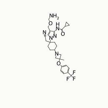 CC1(Oc2ccc(C(F)(F)F)cc2)CN(C2CCC(CC#N)(n3cc(COCN)c(NC(=O)C4CC4)n3)CC2)C1